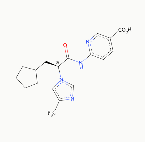 O=C(O)c1ccc(NC(=O)[C@H](CC2CCCC2)n2cnc(C(F)(F)F)c2)nc1